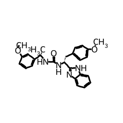 COc1ccc(C[C@@H](NC(=O)N[C@@H](C)c2cccc(OC)c2)c2nc3ccccc3[nH]2)cc1